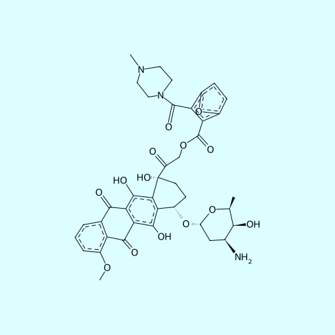 COc1cccc2c1C(=O)c1c(O)c3c(c(O)c1C2=O)[C@@](O)(C(=O)COC(=O)c1c(C(=O)N2CCN(C)CC2)c2ccc1o2)CC[C@@H]3O[C@H]1C[C@H](N)[C@H](O)[C@H](C)O1